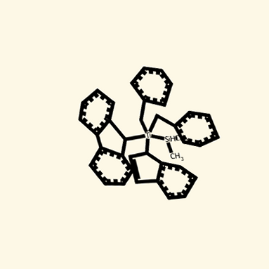 C[SiH](C)[Ti]([CH2]c1ccccc1)([CH2]c1ccccc1)([CH]1C=Cc2ccccc21)[CH]1c2ccccc2-c2ccccc21